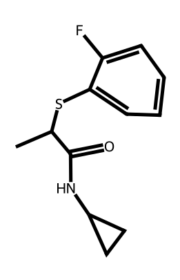 CC(Sc1ccccc1F)C(=O)NC1CC1